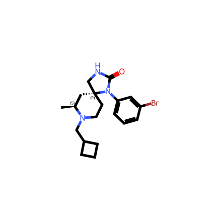 C[C@H]1C[C@]2(CCN1CC1CCC1)CNC(=O)N2c1cccc(Br)c1